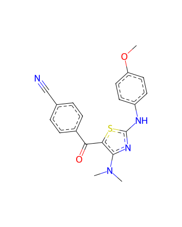 COc1ccc(Nc2nc(N(C)C)c(C(=O)c3ccc(C#N)cc3)s2)cc1